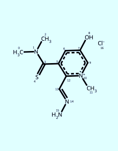 CN(C)C(=S)c1cc(O)c[n+](C)c1C=NN.[Cl-]